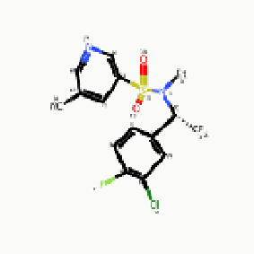 CCN([C@@H](c1ccc(F)c(Cl)c1)C(F)(F)F)S(=O)(=O)c1cncc(C#N)c1